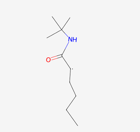 CCCC[CH]C(=O)NC(C)(C)C